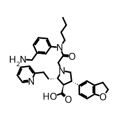 CCCCN(C(=O)CN1C[C@H](c2ccc3c(c2)CCO3)[C@@H](C(=O)O)[C@@H]1CCc1ccccn1)c1cccc(CN)c1